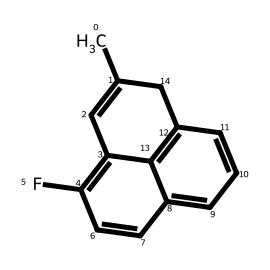 CC1=Cc2c(F)ccc3cccc(c23)C1